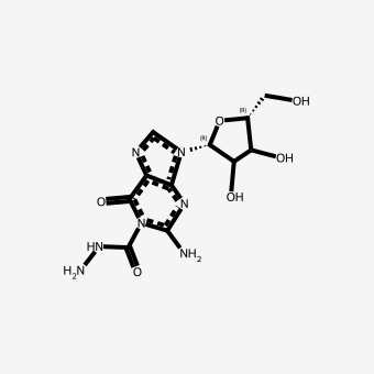 NNC(=O)n1c(N)nc2c(ncn2[C@@H]2O[C@H](CO)C(O)C2O)c1=O